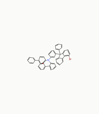 Brc1cccc2c1-c1ccccc1C2(c1ccccc1)c1cccc(N(c2ccc(-c3ccccc3)cc2)c2ccccc2-c2ccccc2)c1